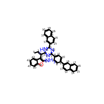 C/C=C(/C1=NC(c2ccc(-c3ccc4ccccc4c3)cc2)=NC(c2ccc3ccccc3c2)N1)c1c(N)oc2ccccc12